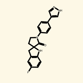 O=C1N(c2ccc(-c3cn[nH]c3)cc2)CCC12Cc1cc(F)ccc1N2